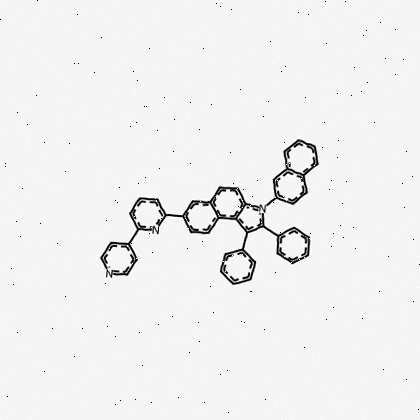 c1ccc(-c2c(-c3ccccc3)n(-c3ccc4ccccc4c3)c3ccc4cc(-c5cccc(-c6ccncc6)n5)ccc4c23)cc1